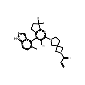 C=CC(=O)N1CC2(CCN(c3nc4c(c(-c5c(C)ccc6[nH]ncc56)c3C#N)CCC4(F)F)C2)C1